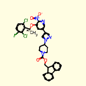 C[C@@H](Oc1cc(-c2cnn(C3CCN(C(=O)OCC4c5ccccc5-c5ccccc54)CC3)c2)cnc1[N+](=O)[O-])c1c(Cl)ccc(F)c1Cl